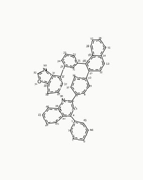 c1ccc(-c2nc(-c3ccc(-c4ccc5ccccc5c4-c4cccc(-c5cccc6ocnc56)c4)cc3)nc3ccccc23)cc1